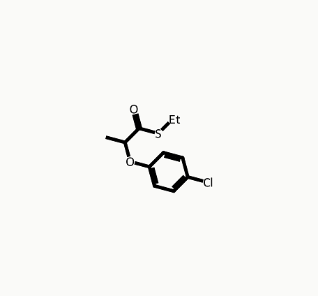 CCSC(=O)C(C)Oc1ccc(Cl)cc1